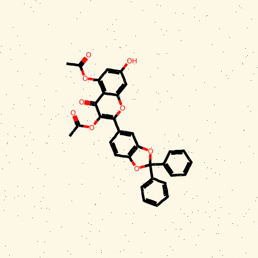 CC(=O)Oc1c(-c2ccc3c(c2)OC(c2ccccc2)(c2ccccc2)O3)oc2cc(O)cc(OC(C)=O)c2c1=O